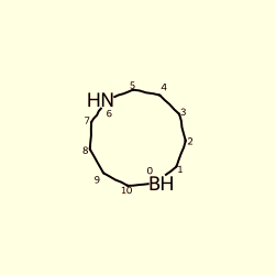 B1CCCCCNCCCC1